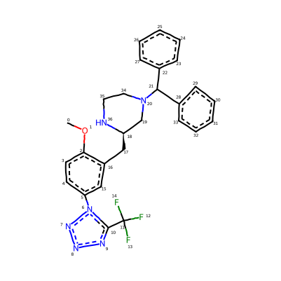 COc1ccc(-n2nnnc2C(F)(F)F)cc1C[C@@H]1CN(C(c2ccccc2)c2ccccc2)CCN1